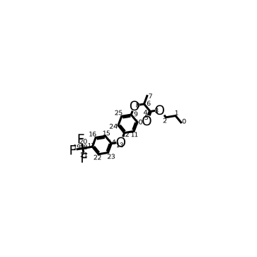 CCCOC(=O)C(C)Oc1ccc(Oc2ccc(C(F)(F)F)cc2)cc1